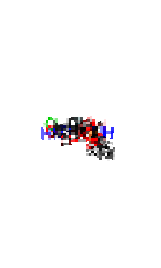 CC(C)OC(=O)[C@@H](C)N[P@@](=O)(OC[C@H]1O[C@@H](n2cc(Cl)c(=O)[nH]c2=O)[C@](C)(F)[C@@H]1O)Oc1cccc2ccccc12